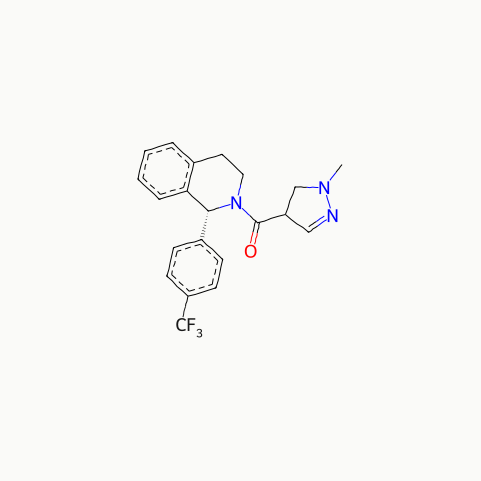 CN1CC(C(=O)N2CCc3ccccc3[C@H]2c2ccc(C(F)(F)F)cc2)C=N1